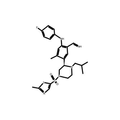 Cc1ncc(S(=O)(=O)N2CCN(CC(C)C)[C@H](c3cc(C=N)c(Nc4ccc(F)cc4)cc3C)C2)s1